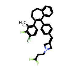 Cc1c(C2=C(c3ccc(C=C4CN(CCC(F)F)C4)cc3)c3ccccc3CCC2)ccc(Cl)c1F